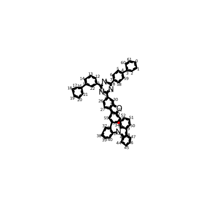 c1ccc(-c2ccc(-c3nc(-c4cccc(-c5ccccc5)c4)nc(-c4ccc5c(c4)oc4ccc(-c6ccccc6-n6c7ccccc7c7ccccc76)cc45)n3)cc2)cc1